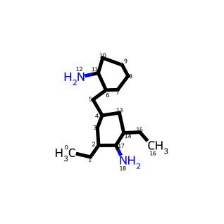 CCC1CC(CC2CCCCC2N)CC(CC)C1N